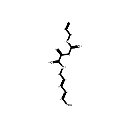 C=CCOC(=O)CC(=C)C(=O)OCC=CC=CCCCC